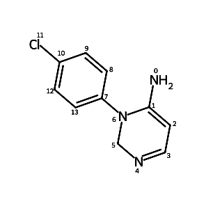 NC1=CC=NCN1c1ccc(Cl)cc1